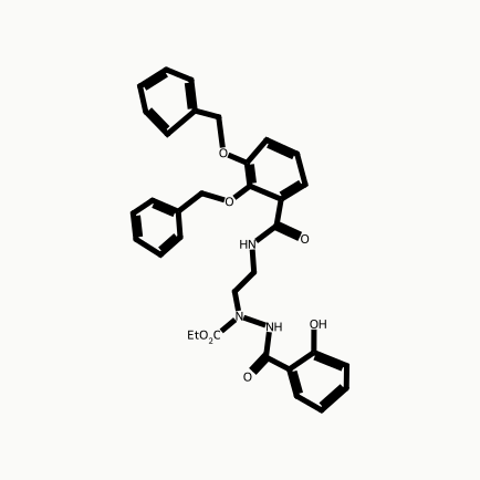 CCOC(=O)N(CCNC(=O)c1cccc(OCc2ccccc2)c1OCc1ccccc1)NC(=O)c1ccccc1O